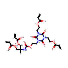 C=CC(=O)OCCn1c(=O)n(CCOC(=O)C=C)c(=O)n(CCOC(=O)NC(C)(COC(=O)C=C)COC(=O)C=C)c1=O